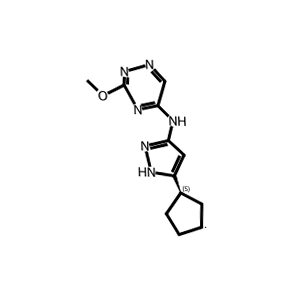 COc1nncc(Nc2cc([C@H]3C[CH]CC3)[nH]n2)n1